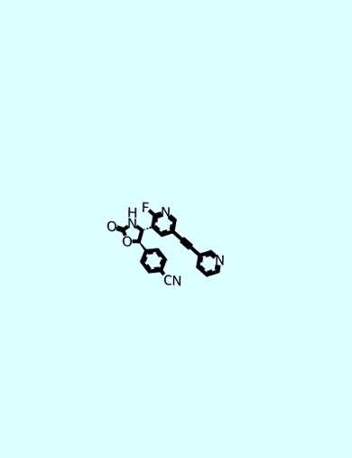 N#Cc1ccc([C@H]2OC(=O)N[C@@H]2c2cc(C#Cc3cccnc3)cnc2F)cc1